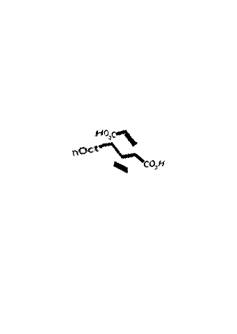 C=C.C=CC(=O)O.CCCCCCCCCCCC(=O)O